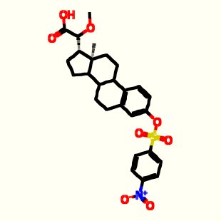 COC(C(=O)O)[C@H]1CCC2C3CCc4cc(OS(=O)(=O)c5ccc([N+](=O)[O-])cc5)ccc4C3CC[C@@]21C